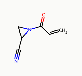 C=CC(=O)N1CC1C#N